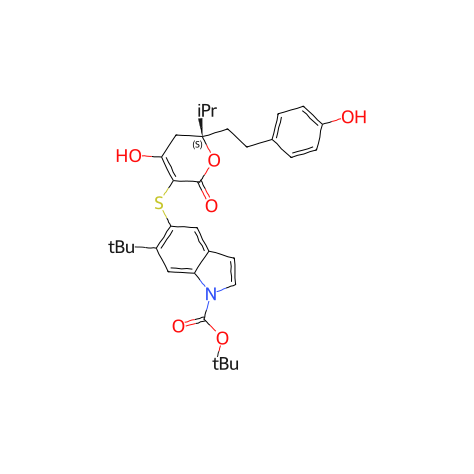 CC(C)[C@]1(CCc2ccc(O)cc2)CC(O)=C(Sc2cc3ccn(C(=O)OC(C)(C)C)c3cc2C(C)(C)C)C(=O)O1